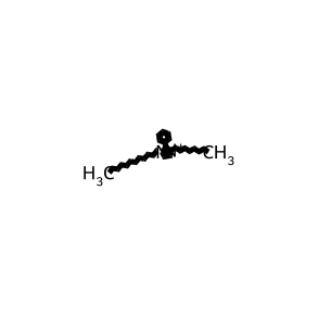 CCCCCCCCCCCCn1cc[n+](CCCCCCCC)c1-c1ccccc1